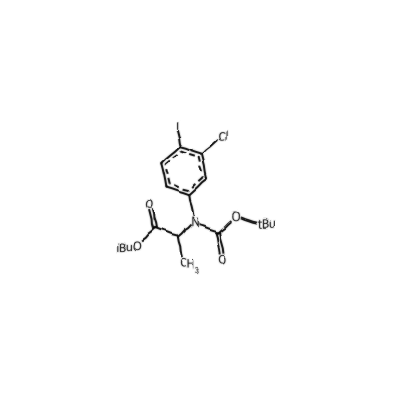 CC(C)COC(=O)C(C)N(C(=O)OC(C)(C)C)c1ccc(I)c(Cl)c1